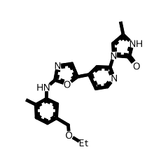 CCOCc1ccc(C)c(Nc2ncc(-c3ccnc(-n4cc(C)[nH]c4=O)c3)o2)c1